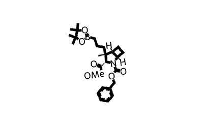 COC(=O)[C@H]1N(C(=O)OCc2ccccc2)[C@@H]2CC[C@@H]2[C@@]1(C)CCCB1OC(C)(C)C(C)(C)O1